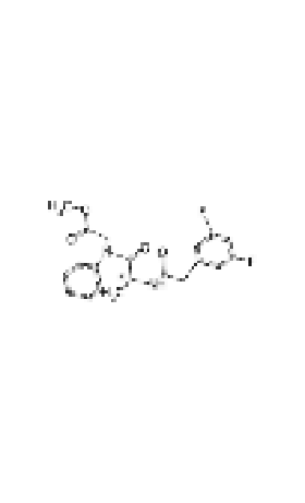 COC(=O)CN(C(=O)[C@H](C)NC(=O)Cc1cc(F)cc(F)c1)c1ccccc1